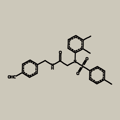 Cc1ccc(S(=O)(=O)N(CC(=O)NCc2ccc(C=O)cc2)c2cccc(C)c2C)cc1